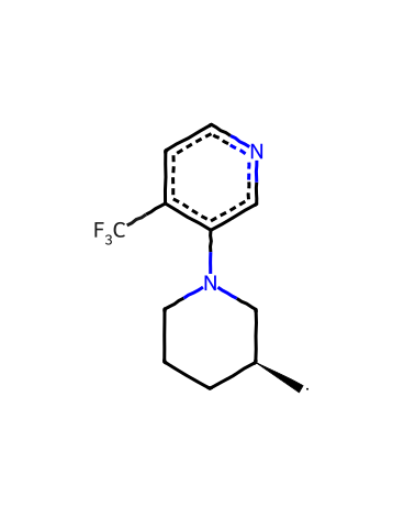 [CH2][C@H]1CCCN(c2cnccc2C(F)(F)F)C1